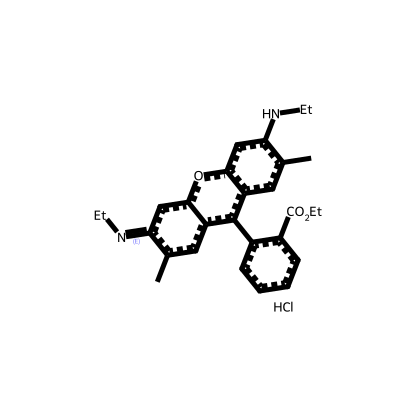 CC/N=c1\cc2oc3cc(NCC)c(C)cc3c(-c3ccccc3C(=O)OCC)c-2cc1C.Cl